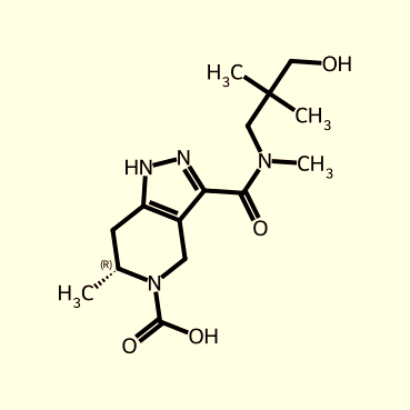 C[C@@H]1Cc2[nH]nc(C(=O)N(C)CC(C)(C)CO)c2CN1C(=O)O